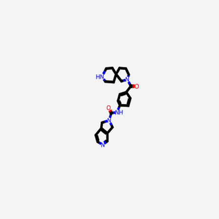 O=C(Nc1ccc(C(=O)N2CCCC3(CCNCC3)C2)cc1)N1Cc2ccncc2C1